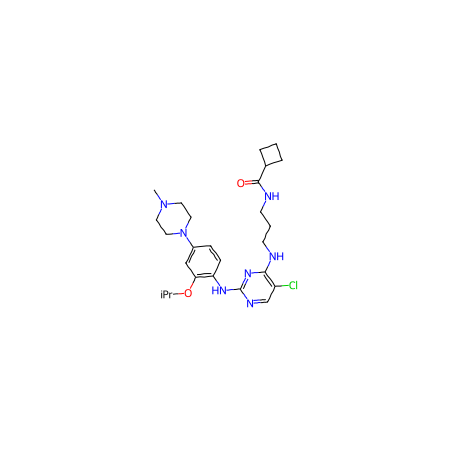 CC(C)Oc1cc(N2CCN(C)CC2)ccc1Nc1ncc(Cl)c(NCCCNC(=O)C2CCC2)n1